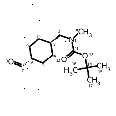 CN(C[C@H]1CC[C@H](C=O)CC1)C(=O)OC(C)(C)C